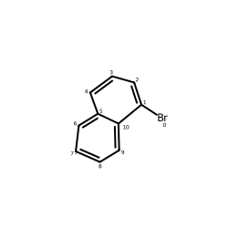 Brc1cccc2c[c]ccc12